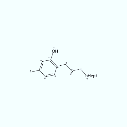 CCCCCCCCSCc1ccc(C)cc1O